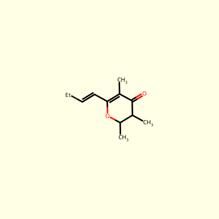 CC/C=C/C1=C(C)C(=O)C(C)C(C)O1